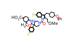 COCCc1c(CC2CCC(OC(C)C)CC2)c2ccc(F)cc2n1C(=O)N1CCC(C(=O)N[C@H]2CC[C@H](C(=O)O)C[C@@H]2C)(c2ccc(F)cc2)CC1